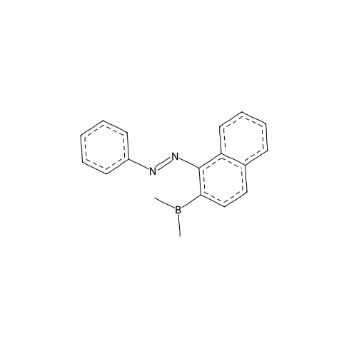 CB(C)c1ccc2ccccc2c1/N=N/c1ccccc1